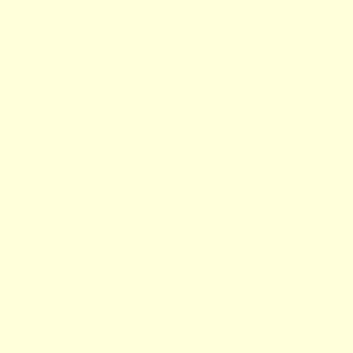 CC(C)CC(C)(C)C(=O)OCC(=O)OC(C)C1CC2CCCC(C2)C1